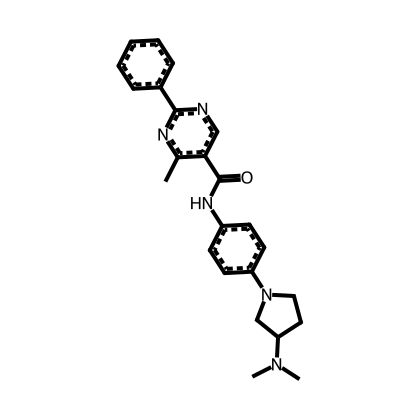 Cc1nc(-c2ccccc2)ncc1C(=O)Nc1ccc(N2CCC(N(C)C)C2)cc1